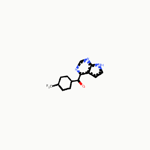 O=C(c1ncnc2[nH]ccc12)C1CCC(C(F)(F)F)CC1